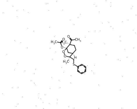 CC(=O)O[C@@]12C[C@@H](CC[C@]1(C)C(C)=O)[C@@](C)(CSc1ccccc1)OO2